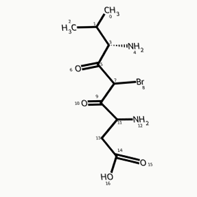 CC(C)[C@H](N)C(=O)C(Br)C(=O)C(N)CC(=O)O